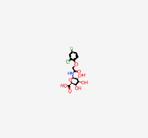 O=C(COc1ccc(Cl)cc1Cl)N[C@@H]1O[C@H](C(=O)O)[C@@H](O)[C@H](O)[C@H]1O